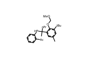 CCCC(C)(Pc1ccccc1C(C)=O)c1cc(C)cc(C(C)(C)C)c1OCOC